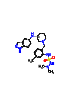 Cc1ccc(CN2CCC[C@@H](Nc3ccc4[nH]ncc4c3)C2)c(NS(=O)(=O)NN(C)C)c1